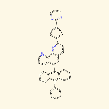 c1ccc(-c2c3ccccc3c(-c3cc4ccc(-c5ccc(-c6ncccn6)cc5)nc4c4ncccc34)c3ccccc23)cc1